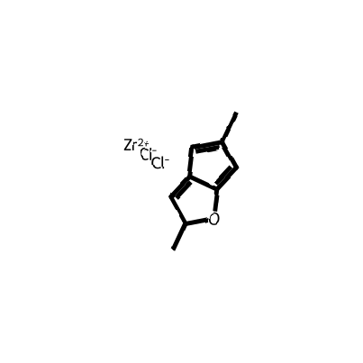 CC1=CC2=CC(C)OC2=C1.[Cl-].[Cl-].[Zr+2]